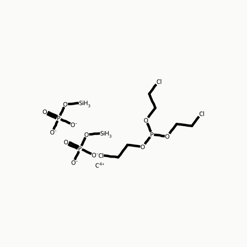 ClCCOP(OCCCl)OCCCl.O=P([O-])([O-])O[SiH3].O=P([O-])([O-])O[SiH3].[C+4]